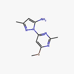 CSc1cc(-n2nc(C)cc2N)nc(C)n1